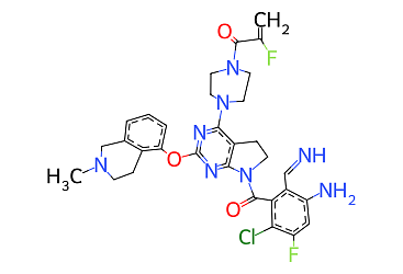 C=C(F)C(=O)N1CCN(c2nc(Oc3cccc4c3CCN(C)C4)nc3c2CCN3C(=O)c2c(Cl)c(F)cc(N)c2C=N)CC1